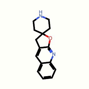 c1ccc2nc3c(cc2c1)CC1(CCNCC1)O3